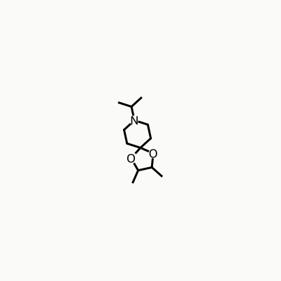 CC1OC2(CCN(C(C)C)CC2)OC1C